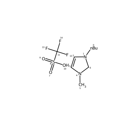 CCCCN1C=CN(C)C1.O=S(=O)(O)C(F)(F)F